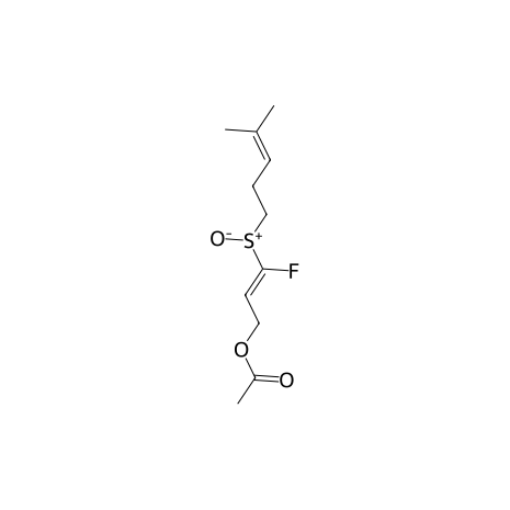 CC(=O)OC/C=C(\F)[S+]([O-])CCC=C(C)C